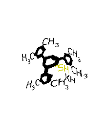 Cc1cc(C)cc(-c2cc(-c3cc(C)cc(C)c3)c(S)c(-c3cc(C)cc(C)c3)c2)c1.[KH]